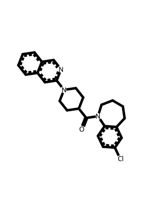 O=C(C1CCN(c2cc3ccccc3cn2)CC1)N1CCCCc2cc(Cl)ccc21